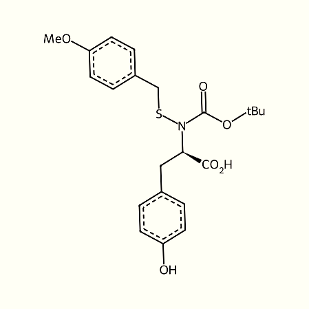 COc1ccc(CSN(C(=O)OC(C)(C)C)[C@H](Cc2ccc(O)cc2)C(=O)O)cc1